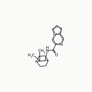 CC1(C)C(NC(=O)c2cn3cccc3cn2)C2CCN1CC2